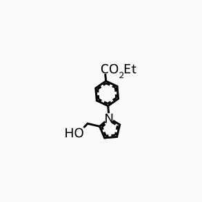 CCOC(=O)c1ccc(-n2cccc2CO)cc1